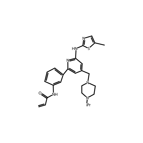 C=CC(=O)Nc1cccc(-c2cc(CN3CCN(C(C)C)CC3)cc(Nc3ncc(C)s3)n2)c1